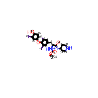 CC(C)(C)OC(=O)N[C@@H](Cc1cc(I)c(Oc2ccc(O)c(I)c2)c(I)c1)C(=O)NC1CCNCC1